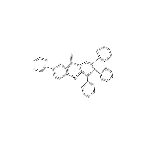 O=c1c2cc(-c3ccccc3)ccc2oc2c(-c3ccccc3)c(-c3ccccc3)c(-c3ccccc3)cc12